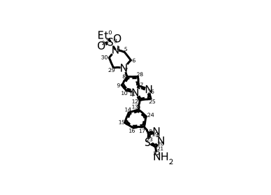 CCS(=O)(=O)N1CCN(c2ccn3c(-c4cccc(-c5nnc(N)s5)c4)cnc3c2)CC1